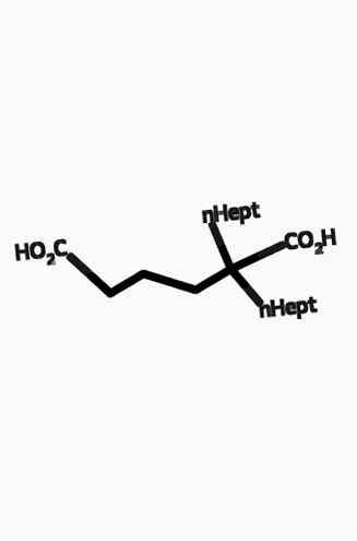 CCCCCCCC(CCCCCCC)(CCCC(=O)O)C(=O)O